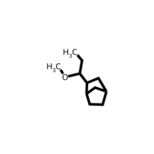 CCC(OC)C1CC2CCC1C2